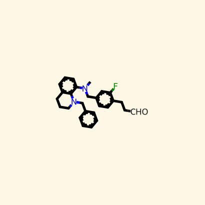 CN(Cc1ccc(CCC=O)c(F)c1)c1cccc2c1N(Cc1ccccc1)CCC2